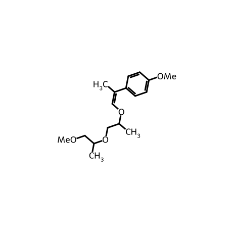 COCC(C)OCC(C)O/C=C(/C)c1ccc(OC)cc1